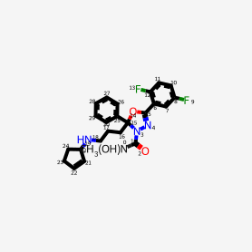 CN(O)C(=O)N1N=C(c2cc(F)ccc2F)OC1(CCCNC1C=CCC1)c1ccccc1